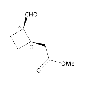 COC(=O)C[C@H]1CC[C@H]1C=O